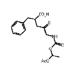 CC(=O)OC(C)OC(=O)NCC(=O)CC(Cc1ccccc1)C(=O)O